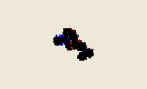 C1=Cc2c(c3ccccc3n2-c2ccc3oc4c(-c5ccc6oc7cccc(C8=NC(c9ccccc9)NC(c9ccccc9)N8)c7c6c5)cccc4c3c2)CC1